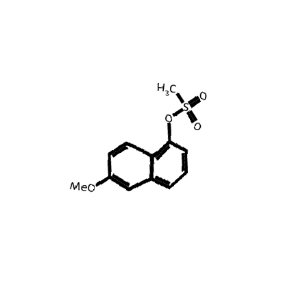 COc1ccc2c(OS(C)(=O)=O)cccc2c1